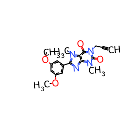 C#CCn1c(=O)c2c(nc(-c3cc(OC)cc(OC)c3)n2C)n(C)c1=O